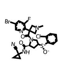 CN1CC(C(=O)N2CC([S+]([O-])c3ccccc3Cl)C[C@H]2C(=O)NC2(C#N)CC2)(c2ncc(Br)cc2F)C1